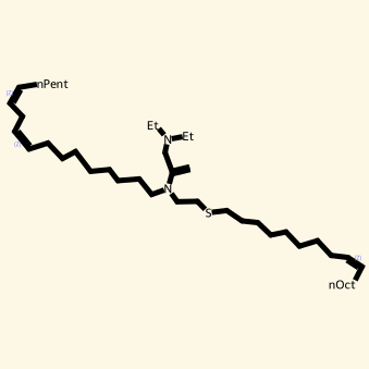 C=C(CN(CC)CC)N(CCCCCCCC/C=C\C/C=C\CCCCC)CCSCCCCCCCC/C=C\CCCCCCCC